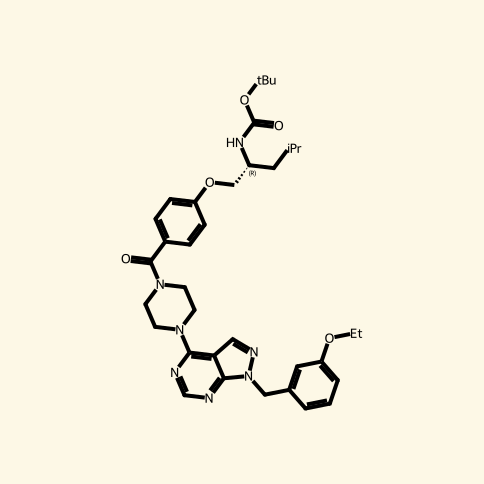 CCOc1cccc(Cn2ncc3c(N4CCN(C(=O)c5ccc(OC[C@@H](CC(C)C)NC(=O)OC(C)(C)C)cc5)CC4)ncnc32)c1